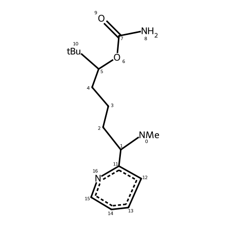 CNC(CCCC(OC(N)=O)C(C)(C)C)c1ccccn1